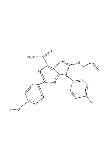 C=CCSc1nc2c(C(N)=O)nc(-c3ccc(OCC)cc3)nc2n1-c1ccc(C)cc1